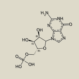 Nc1nc2c(ncn2C2O[C@H](COP(=O)(O)O)[C@@H](O)[C@H]2O)c(=O)[nH]1